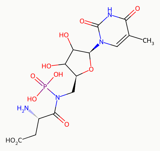 Cc1cn([C@H]2O[C@@H](CN(C(=O)[C@@H](N)CC(=O)O)P(=O)(O)O)C(O)C2O)c(=O)[nH]c1=O